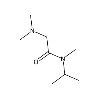 CC(C)N(C)C(=O)CN(C)C